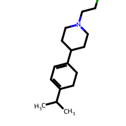 CC(C)C1=CC=C(C2CCN(CCF)CC2)CC1